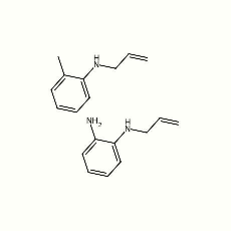 C=CCNc1ccccc1C.C=CCNc1ccccc1N